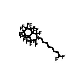 FC(F)CCCCCCCN1N(F)C(F)(F)C2(F)C(F)(F)C(F)(F)C(F)(F)C(F)(F)C2(F)C1(F)F